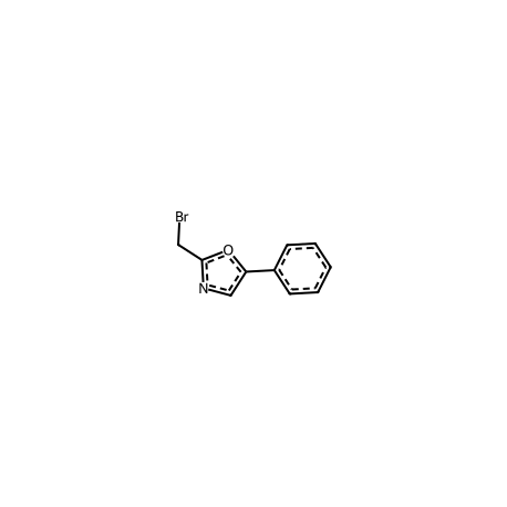 BrCc1ncc(-c2ccccc2)o1